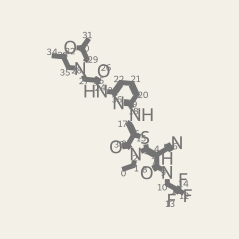 CCn1c(=C(C#N)C(=O)NCC(F)(F)F)sc(=CNc2cccc(NC(=O)CN3CC(C)OC(C)C3)n2)c1=O